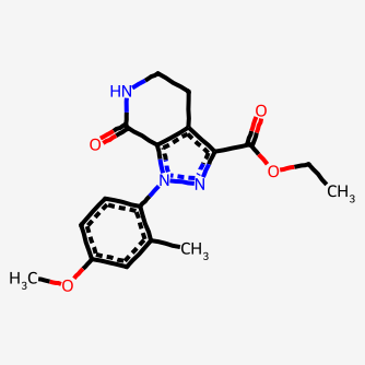 CCOC(=O)c1nn(-c2ccc(OC)cc2C)c2c1CCNC2=O